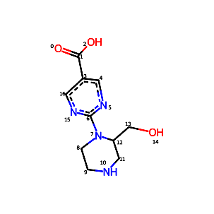 O=C(O)c1cnc(N2CCNCC2CO)nc1